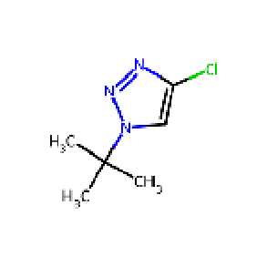 CC(C)(C)n1cc(Cl)nn1